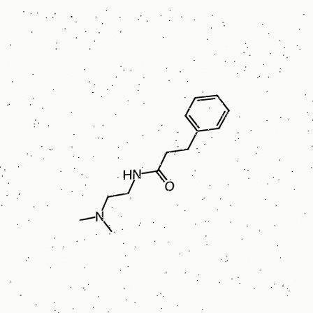 CN(C)CCNC(=O)CCc1ccccc1